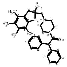 Cc1c(C)c2c(c(C)c1N)CC(C)(CN1CCN(C(=O)C(c3ccccc3)c3ccccc3)CC1)O2